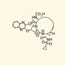 O=C(O)N[C@H]1CCCCC/C=C\[C@@H]2C[C@@]2(C(=O)NS(=O)(=O)C2CC2)NC(=O)[C@@H]2C[C@@H](Oc3nc4ccccc4nc3C(F)(F)F)CN2C1=O